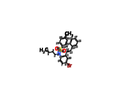 C=CCCN(c1ccc(Br)cc1C=Cc1ccccc1)S(=O)(=O)c1ccc(C)cc1